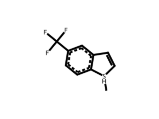 C[SH]1C=Cc2cc(C(F)(F)F)ccc21